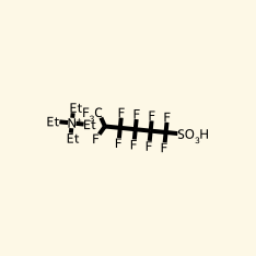 CC[N+](CC)(CC)CC.O=S(=O)(O)C(F)(F)C(F)(F)C(F)(F)C(F)(F)C(F)C(F)(F)F